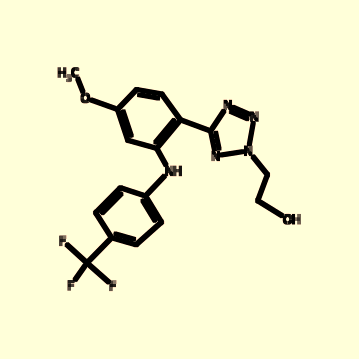 COc1ccc(-c2nnn(CCO)n2)c(Nc2ccc(C(F)(F)F)cc2)c1